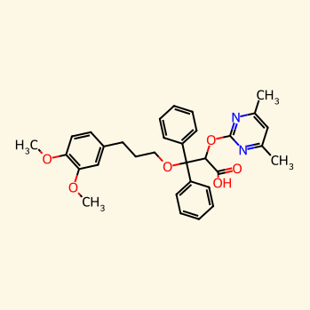 COc1ccc(CCCOC(c2ccccc2)(c2ccccc2)C(Oc2nc(C)cc(C)n2)C(=O)O)cc1OC